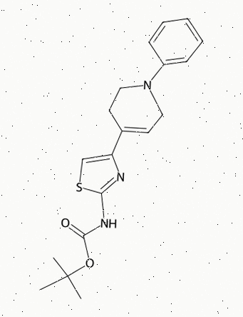 CC(C)(C)OC(=O)Nc1nc(C2=CCN(c3ccccc3)CC2)cs1